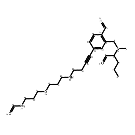 CCCC(C=O)N(C)Cc1cc(C#CCCNCCCOCCCNC=O)ccc1C=O